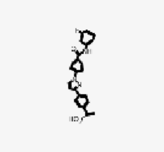 C=C(C(=O)O)c1ccc(-c2ccn(-c3ccc(C(=O)Nc4cccc(F)c4)cc3)n2)cc1